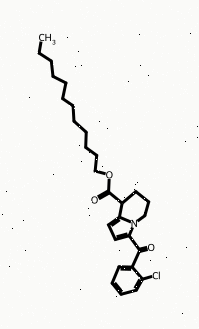 CCCCCCCCCCCCOC(=O)C1CCCn2c(C(=O)c3ccccc3Cl)ccc21